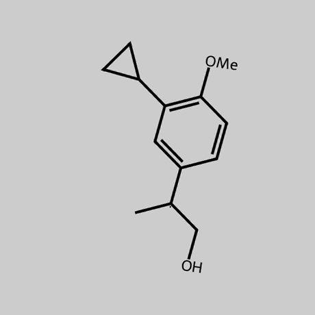 COc1ccc([C](C)CO)cc1C1CC1